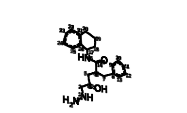 NNC[C@@H](O)C[C@H](Cc1ccccc1)C(=O)NC1CCCc2ccccc21